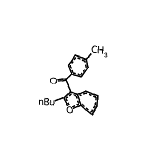 CCCCc1oc2ccccc2c1C(=O)c1ccc(C)cc1